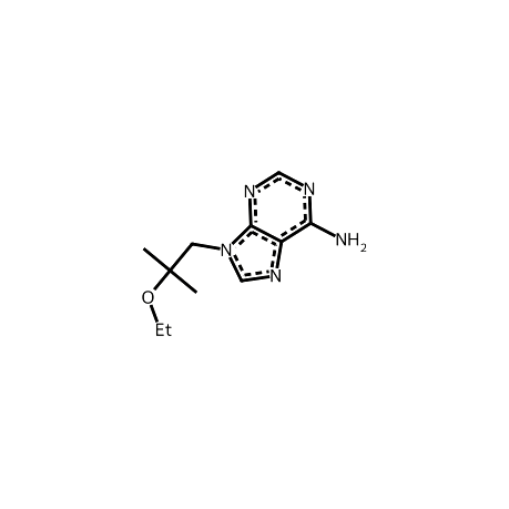 CCOC(C)(C)Cn1cnc2c(N)ncnc21